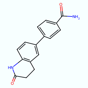 NC(=O)c1ccc(-c2ccc3c(c2)CCC(=O)N3)cc1